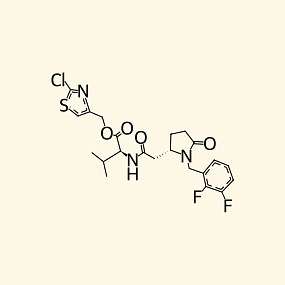 CC(C)[C@H](NC(=O)C[C@@H]1CCC(=O)N1Cc1cccc(F)c1F)C(=O)OCc1csc(Cl)n1